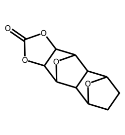 O=C1OC2C(O1)C1OC2C2C3CCC(O3)C12